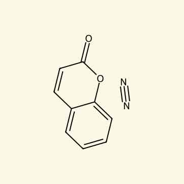 N#N.O=c1ccc2ccccc2o1